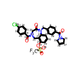 O=C(c1ccc(CN2C(=O)CN(C(=O)c3ccc(Cl)cc3)Cc3c(OS(=O)(=O)C(F)(F)F)cccc32)cc1)N1CC=CC1